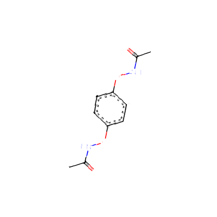 CC(=O)NOc1ccc(ONC(C)=O)cc1